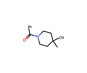 CC(C)C(=O)N1CCC(C)(C#N)CC1